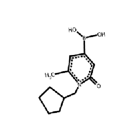 Cc1cc(B(O)O)cc(=O)n1CC1CCCC1